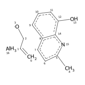 C=CC[O].Cc1ccc2cccc(O)c2n1.[AlH3]